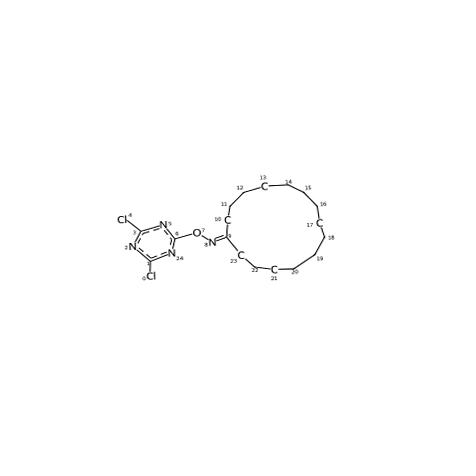 Clc1nc(Cl)nc(ON=C2CCCCCCCCCCCCCC2)n1